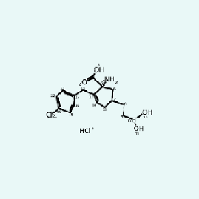 Cl.NC1(C(=O)O)CC(CCB(O)O)CC=C1Cc1ccc(Cl)cc1